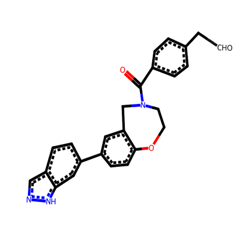 O=CCc1ccc(C(=O)N2CCOc3ccc(-c4ccc5cn[nH]c5c4)cc3C2)cc1